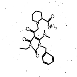 CCn1c(=O)c(C(=O)CN2CCCCC2C(N)=O)c(N(C)C)n(Cc2ccccc2)c1=O